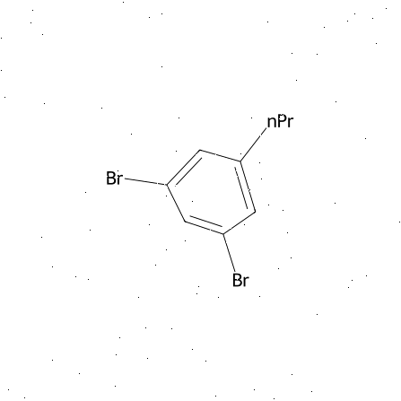 [CH2]CCc1cc(Br)cc(Br)c1